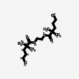 CC(C)(CCCCl)C(=O)OCCOC(=O)C(C)(C)CCCCl